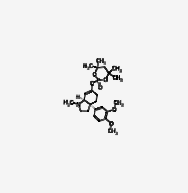 COc1ccc([C@@]23CCC(OP4(=O)OC(C)(C)CC(C)(C)O4)=C[C@@H]2N(C)CC3)cc1OC